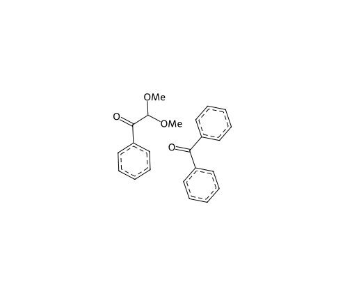 COC(OC)C(=O)c1ccccc1.O=C(c1ccccc1)c1ccccc1